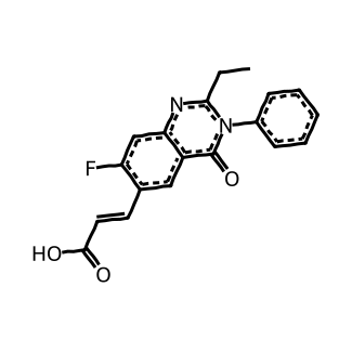 CCc1nc2cc(F)c(C=CC(=O)O)cc2c(=O)n1-c1ccccc1